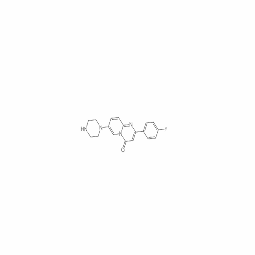 O=c1cc(-c2ccc(F)cc2)nc2ccc(N3CCNCC3)cn12